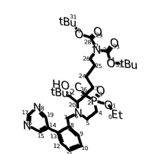 CCOP1(=O)CCN(Cc2ccccc2-c2cncnc2)C(C(C)(C)C)C1(CCCCN(C(=O)OC(C)(C)C)C(=O)OC(C)(C)C)C(=O)O